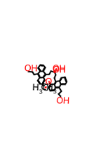 Cc1ccc2c(CCCO)c3ccccc3c(CCCO)c2c1Oc1c(C)ccc2c(CCCO)c3ccccc3c(CCCO)c12